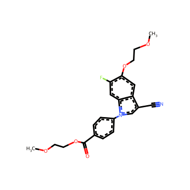 COCCOC(=O)c1ccc(-n2cc(C#N)c3cc(OCCOC)c(F)cc32)cc1